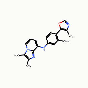 COc1cc(Nc2cccn3c(C)c(C)nc23)ccc1-c1ocnc1C